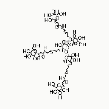 CO[C@H]1O[C@H](CO[C@H]2O[C@H](CO[C@H]3O[C@H](CO)[C@@H](O)[C@H](O)[C@H]3OCCCSCCNC(=O)CS[C@H]3OC(CO)[C@@H](O)[C@H](O)C3O)[C@@H](O)[C@H](O)[C@H]2OCCCSCCNC(=O)CS[C@H]2OC(CO)[C@@H](O)[C@H](O)C2O)[C@@H](O)[C@H](O)[C@H]1OCCCSCCNC(=O)CS[C@H]1OC(CO)[C@@H](O)[C@H](O)C1O